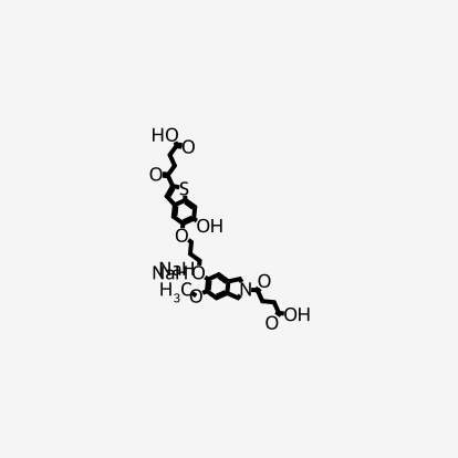 COc1cc2c(cc1OCCCOc1cc3cc(C(=O)CCC(=O)O)sc3cc1O)CN(C(=O)CCC(=O)O)C2.[NaH].[NaH]